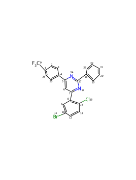 FC(F)(F)c1ccc(-c2cc(-c3cc(Br)ccc3Cl)nc(-c3ccccc3)n2)cc1